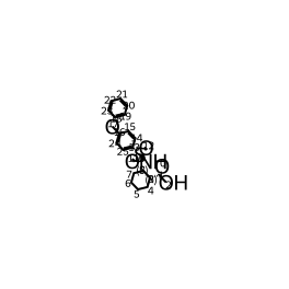 O=C(O)[C@@H]1CCCC[C@@H]1NS(=O)(=O)c1ccc(Oc2ccccc2)cc1